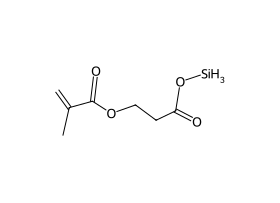 C=C(C)C(=O)OCCC(=O)O[SiH3]